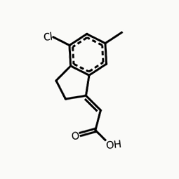 Cc1cc(Cl)c2c(c1)C(=CC(=O)O)CC2